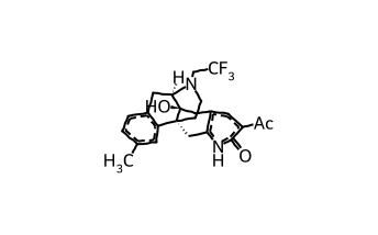 CC(=O)c1cc2c([nH]c1=O)C[C@]13CCN(CC(F)(F)F)[C@H](Cc4ccc(C)cc41)[C@]3(O)C2